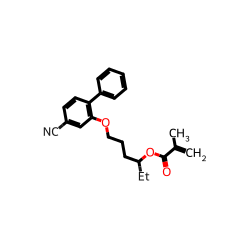 C=C(C)C(=O)OC(CC)CCCOc1cc(C#N)ccc1-c1ccccc1